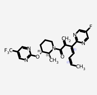 C=C(C(=O)N1CCC[C@@H](Oc2ncc(C(F)(F)F)cn2)[C@@H]1C)/C(=C\C=C/C)c1ncc(F)cn1